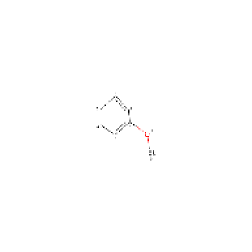 CCOC1=C[CH]CC=C1